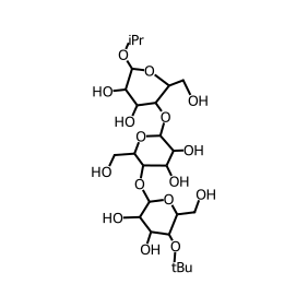 CC(C)OC1OC(CO)C(OC2OC(CO)C(OC3OC(CO)C(OC(C)(C)C)C(O)C3O)C(O)C2O)C(O)C1O